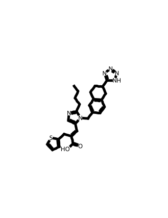 CCCCc1ncc(/C=C(\Cc2cccs2)C(=O)O)n1Cc1ccc2c(c1)CCC(c1nnn[nH]1)C2